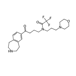 O=C(CCCN(CCCN1CCOCC1)C(=O)C(F)(F)F)c1ccc2c(c1)CCNCC2